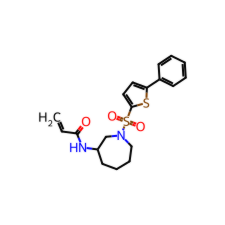 C=CC(=O)NC1CCCCN(S(=O)(=O)c2ccc(-c3ccccc3)s2)C1